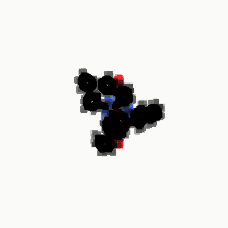 c1ccc(-c2cccc(-c3nc(-c4ccc5oc6ccccc6c5c4)nc(-c4c(-n5c6cc7ccccc7cc6c6cc7ccccc7cc65)ccc5oc6ccccc6c45)n3)c2)cc1